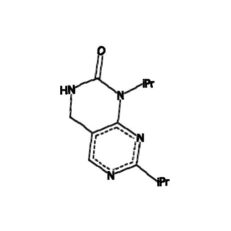 CC(C)c1ncc2c(n1)N(C(C)C)C(=O)NC2